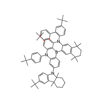 CC(C)(C)c1ccc(N2c3cc(N4c5ccc(C(C)(C)C)cc5C5(C)CCCCC45C)ccc3B3c4cc5c(cc4N(c4ccc(C(C)(C)C)cc4-c4ccccc4)c4cc(C(C)(C)C)cc2c43)C(C)(C)CCC5(C)C)cc1